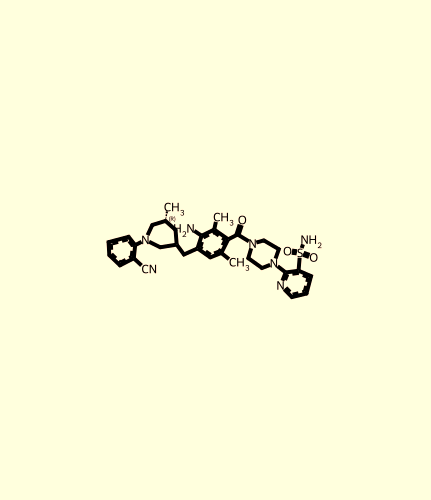 Cc1cc(CC2C[C@@H](C)CN(c3ccccc3C#N)C2)c(N)c(C)c1C(=O)N1CCN(c2ncccc2S(N)(=O)=O)CC1